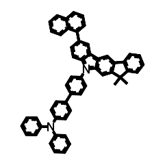 CC1(C)c2ccccc2-c2cc3c4cc(-c5cccc6ccccc56)ccc4n(-c4ccc(-c5ccc(N(c6ccccc6)c6ccccc6)cc5)cc4)c3cc21